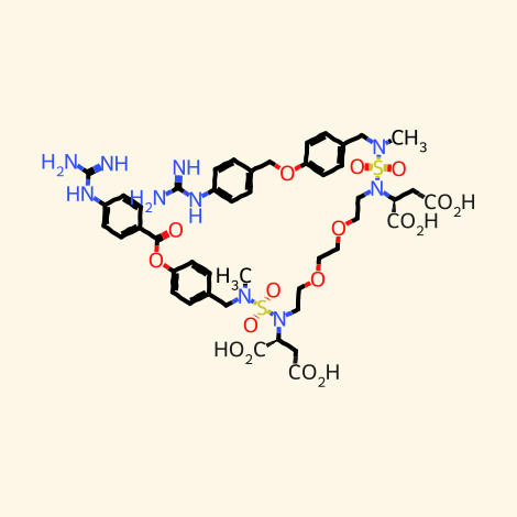 CN(Cc1ccc(OCc2ccc(NC(=N)N)cc2)cc1)S(=O)(=O)N(CCOCCOCCN([C@@H](CC(=O)O)C(=O)O)S(=O)(=O)N(C)Cc1ccc(OC(=O)c2ccc(NC(=N)N)cc2)cc1)[C@@H](CC(=O)O)C(=O)O